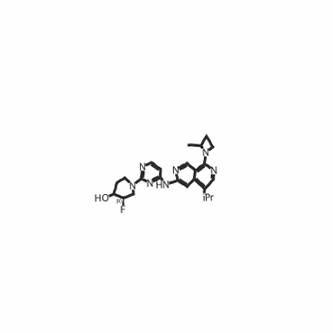 CC(C)c1cnc(N2CCC2C)c2cnc(Nc3ccnc(N4CCC(O)[C@H](F)C4)n3)cc12